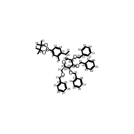 Cc1cc(B2OC(C)(C)C(C)(C)O2)ccc1C(C)[C@H]1O[C@H](COCc2ccccc2)[C@@H](OCc2ccccc2)[C@H](OCc2ccccc2)[C@@H]1OCc1ccccc1